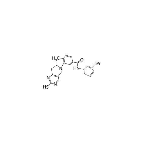 Cc1ccc(C(=O)Nc2cccc(C(C)C)c2)cc1N1CCc2nc(S)ncc2C1